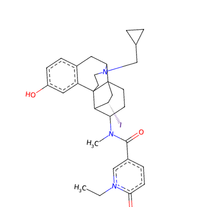 CCn1cc(C(=O)N(C)C2CCC34C[C@H](I)C2C32CCN(CC3CC3)C4Cc3ccc(O)cc32)ccc1=O